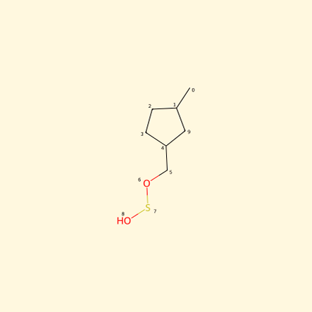 CC1CCC(COSO)C1